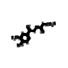 O=C(O)CC(=O)OCC(=O)c1ccc(Br)c(C(F)(F)F)c1